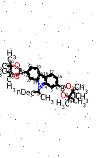 CCCCCCCCCCC(C)n1c2cc(B3OC(C)(C)C(C)(C)O3)ccc2c2ccc(B3OC(C)(C)C(C)(C)O3)cc21